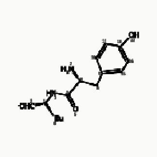 CC[C@H](C)[C@@H]([C]=O)NC(=O)[C@@H](N)Cc1ccc(O)cc1